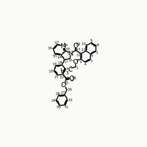 CCOc1ccc2ccccc2c1C(=O)N1CC(c2cccc(C(=O)OCc3ccccc3)c2)c2cccnc21